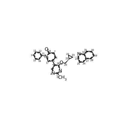 Cc1ncc(-c2ccc(=O)n(-c3ccccc3)c2)c(OC[C@H]2C[C@@H]2c2ccc3ccccc3n2)n1